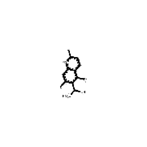 Cc1ccc2c(Br)c(C(O)C(=O)O)c(C)cc2n1